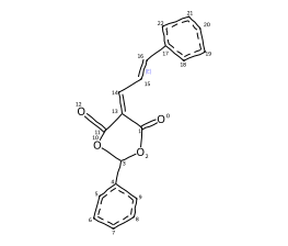 O=C1OC(c2ccccc2)OC(=O)C1=C/C=C/c1ccccc1